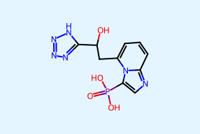 O=P(O)(O)c1cnc2cccc(CC(O)c3nnn[nH]3)n12